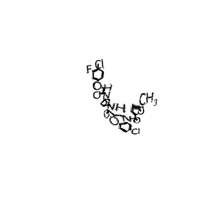 Cc1ccc(C(=O)N2CC(C(=O)NC3CC4(NC(=O)COc5ccc(Cl)c(F)c5)CC3C4)Oc3ccc(Cl)cc32)o1